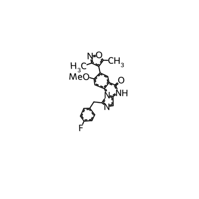 COc1cc2c(cc1-c1c(C)noc1C)c(=O)[nH]c1cnc(Cc3ccc(F)cc3)n12